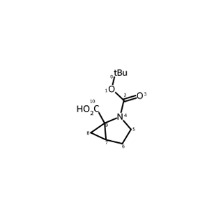 CC(C)(C)OC(=O)N1CCC2CC21C(=O)O